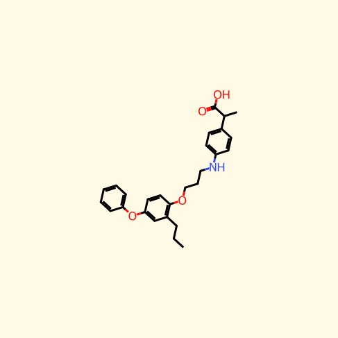 CCCc1cc(Oc2ccccc2)ccc1OCCCNc1ccc(C(C)C(=O)O)cc1